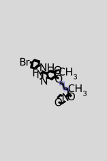 COc1cc2c(Nc3ccc(Br)cc3F)ncnc2cc1O/C=C/C=C(\C)C(=O)N1CCOCC1